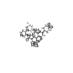 C[C@@H]1C[C@H](N)CN(c2ccncc2NC(=O)c2ccc(F)c(-c3c(F)cc(C4CCS(=O)(=O)CC4)cc3F)c2F)C1.Cl.Cl